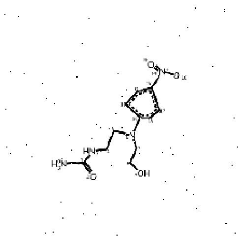 NC(=O)NCCN(CCO)c1ccc([N+](=O)[O-])cc1